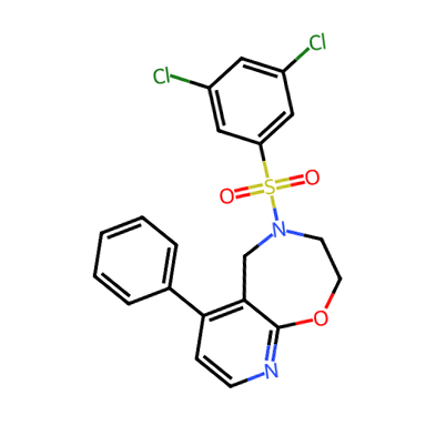 O=S(=O)(c1cc(Cl)cc(Cl)c1)N1CCOc2nccc(-c3ccccc3)c2C1